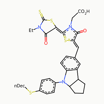 CCCCCCCCCCSc1ccc(N2c3ccc(/C=c4\s/c(=C5/SC(=S)N(CC)C5=O)n(CC(=O)O)c4=O)cc3C3CCCC32)cc1